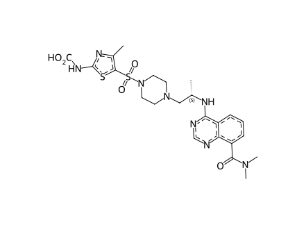 Cc1nc(NC(=O)O)sc1S(=O)(=O)N1CCN(C[C@H](C)Nc2ncnc3c(C(=O)N(C)C)cccc23)CC1